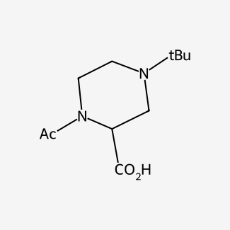 CC(=O)N1CCN(C(C)(C)C)CC1C(=O)O